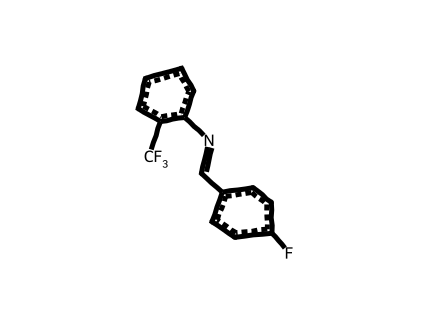 Fc1ccc(/C=N/c2ccccc2C(F)(F)F)cc1